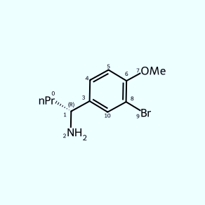 CCC[C@@H](N)c1ccc(OC)c(Br)c1